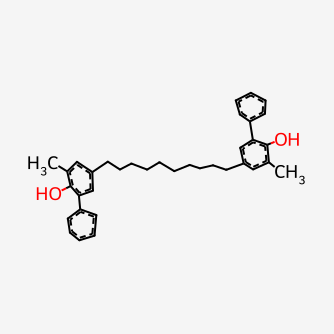 Cc1cc(CCCCCCCCCCc2cc(C)c(O)c(-c3ccccc3)c2)cc(-c2ccccc2)c1O